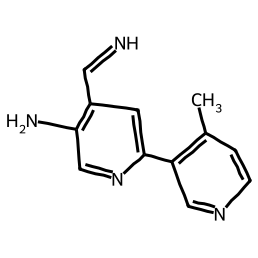 Cc1ccncc1-c1cc(C=N)c(N)cn1